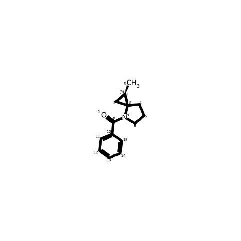 C[C@@H]1CC12CCCN2C(=O)c1ccccc1